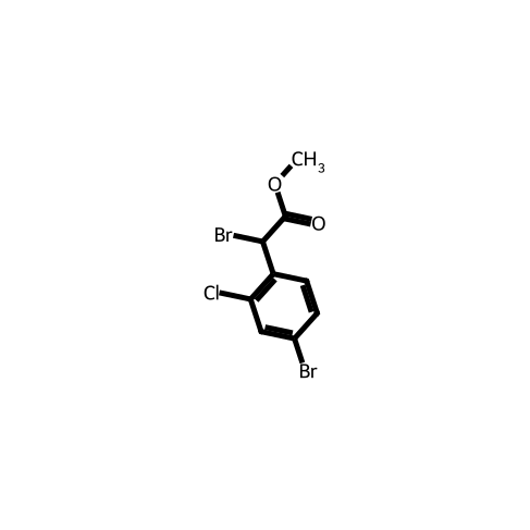 COC(=O)C(Br)c1ccc(Br)cc1Cl